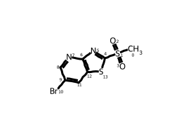 CS(=O)(=O)c1nc2ncc(Br)cc2s1